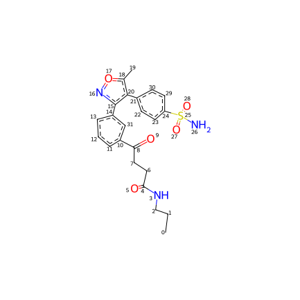 CCCNC(=O)CCC(=O)c1cccc(-c2noc(C)c2-c2ccc(S(N)(=O)=O)cc2)c1